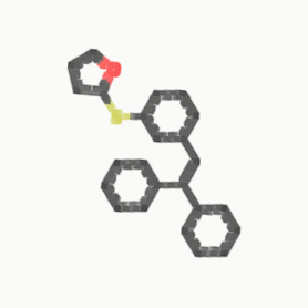 C(=C(c1ccccc1)c1ccccc1)c1cccc(Sc2ccco2)c1